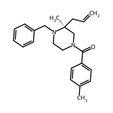 C=CC[C@@]1(C)CN(C(=O)c2ccc(C)cc2)CCN1Cc1ccccc1